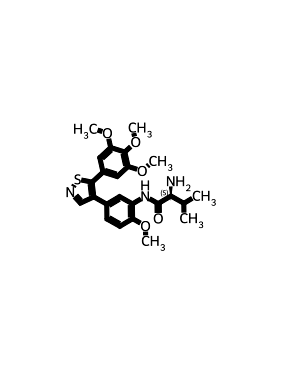 COc1ccc(-c2cnsc2-c2cc(OC)c(OC)c(OC)c2)cc1NC(=O)[C@@H](N)C(C)C